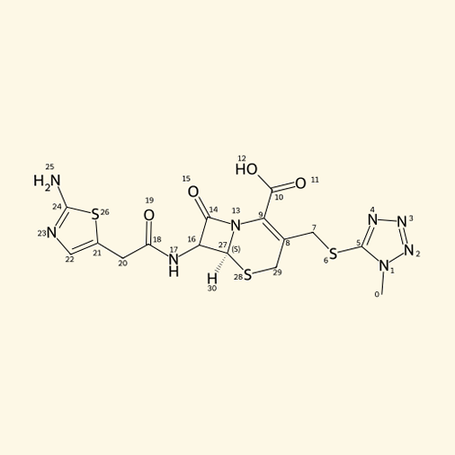 Cn1nnnc1SCC1=C(C(=O)O)N2C(=O)C(NC(=O)Cc3cnc(N)s3)[C@@H]2SC1